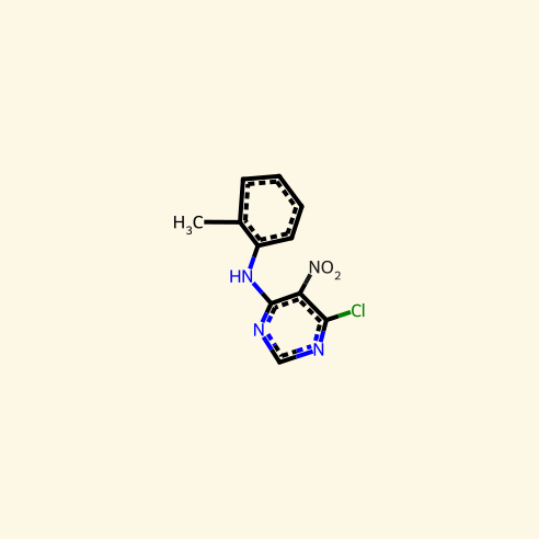 Cc1ccccc1Nc1ncnc(Cl)c1[N+](=O)[O-]